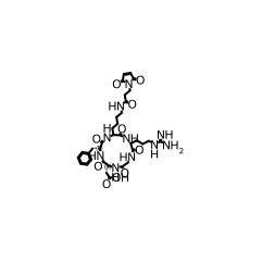 N=C(N)NCCCC1NC(=O)C(CCCCNC(=O)CCN2C(=O)C=CC2=O)NC(=O)[C@@H](Cc2ccccc2)NC(=O)[C@@H](CC(=O)O)NC(=O)CNC1=O